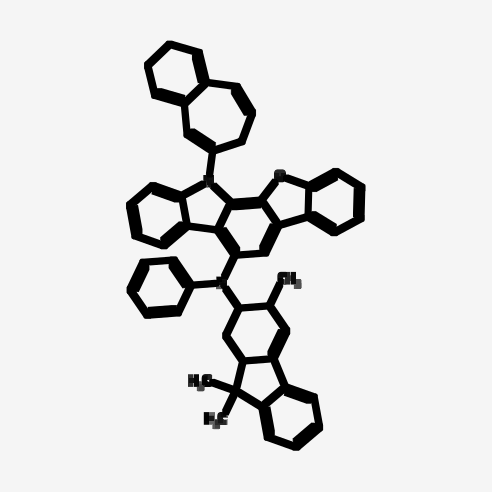 CC1C=C2c3ccccc3C(C)(C)C2CC1N(c1ccccc1)c1cc2c3ccccc3oc2c2c1c1ccccc1n2C1=CC2=CCCC=C2C=CC1